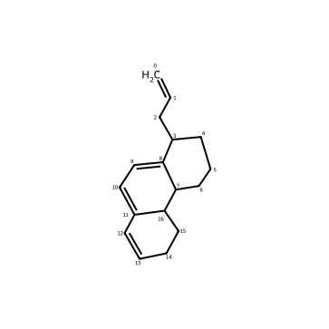 C=CCC1CCCC2C1=CC=C1C=CCCC12